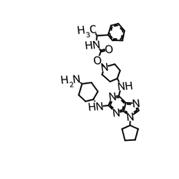 C[C@H](NC(=O)ON1CCC(Nc2nc(N[C@H]3CC[C@H](N)CC3)nc3c2ncn3C2CCCC2)CC1)c1ccccc1